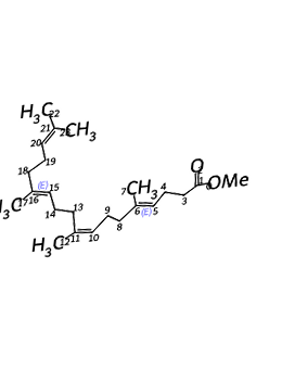 COC(=O)CC/C=C(\C)CCC=C(C)CC/C=C(\C)CCC=C(C)C